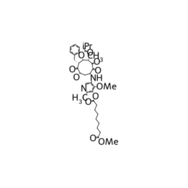 COC(=O)CCCCCCCC(=O)Oc1c(C)ncc(N[C@H]2CC(=O)C(=O)[C@H](Cc3ccccc3)[C@H](OC(=O)C(C)C)[C@H](C)C(=O)C2=O)c1OC